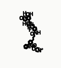 C[N+]1(C)CCC(OC(=O)Nc2cc(CCCC(=O)Nc3ccc(CNC[C@H](O)c4ccc(O)c5[nH]c(=O)ccc45)c(C(F)(F)F)c3)ccc2-c2ccccc2)CC1